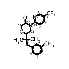 Cc1cccc(CC(C)(C)C2CN(c3ccc(C(F)(F)F)cn3)C(=O)CO2)c1